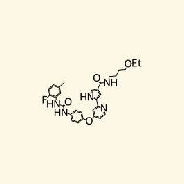 CCOCCCCNC(=O)c1c[nH]c(-c2cc(Oc3ccc(NC(=O)Nc4cc(C)ccc4F)cc3)ccn2)c1